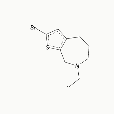 [CH2]CN1CCCc2cc(Br)sc2C1